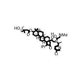 CNCC(=O)N(C[C@H](O)[C@@]12CC[C@]3(C)[C@H](CC[C@@H]4[C@@]5(C)CCC(OC(=O)CC(C)(C)C(=O)O)C(C)(C)[C@@H]5CC[C@]43C)C1=C(C(C)C)C(=O)C2)[C@@H](C)c1ccc(Cl)cn1